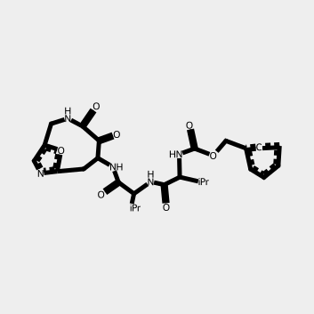 CC(C)C(NC(=O)OCc1ccccc1)C(=O)NC(C(=O)NC1Cc2ncc(o2)CNC(=O)C1=O)C(C)C